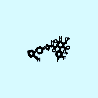 COCC1=C(C(=O)OC)C(c2ccc(F)c(F)c2)N(C(=O)NC2CN(C3CCN(c4ccccc4C#N)CC3)C2)C(=O)N1